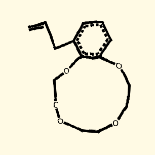 C=CCc1cccc2c1OCCOCCOCCO2